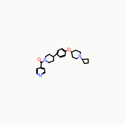 O=C(c1ccncc1)N1CCC(c2ccc(OC3CCN(C4CCC4)CC3)cc2)CC1